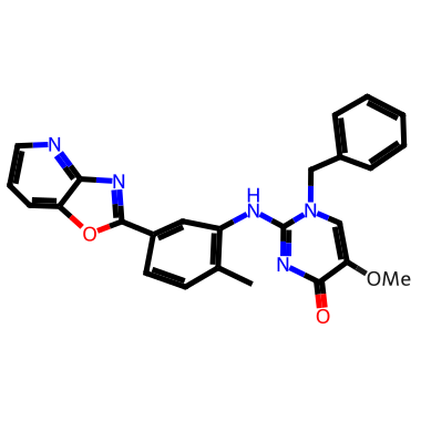 COc1cn(Cc2ccccc2)c(Nc2cc(-c3nc4ncccc4o3)ccc2C)nc1=O